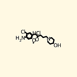 COc1cc(N)c(Cl)cc1CC(=O)CCCN1CCC(O)CC1.Cl